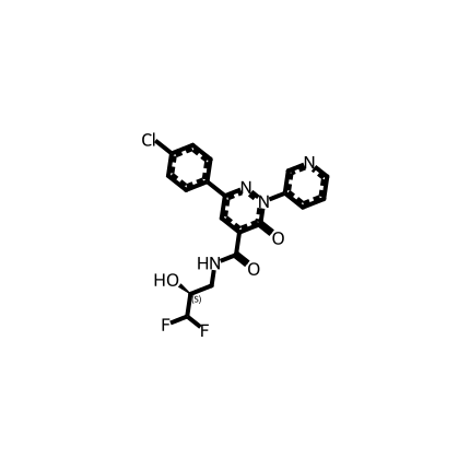 O=C(NC[C@H](O)C(F)F)c1cc(-c2ccc(Cl)cc2)nn(-c2cccnc2)c1=O